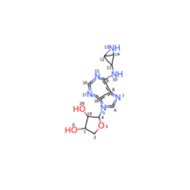 OC1COC(n2cnc3c(NC4C5NC45)ncnc32)C1O